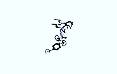 C/C=C/C(=N\C=C(/C)S(=O)(=O)c1ccc(Br)cc1)c1ncccc1SCC